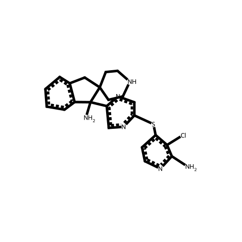 Nc1nccc(Sc2cnc(C3(N)c4ccccc4CC34CCNCC4)cn2)c1Cl